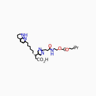 CC(C)CCOCCOCCNC(=O)CCc1ncc([C@@H](CCCCCCc2ccc3c(n2)NCCC3)CC(=O)O)cn1